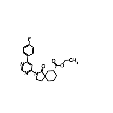 CCOC(=O)[C@@H]1CCCC2(CCN(c3cc(-c4ccc(F)cc4)ncn3)C2=O)C1